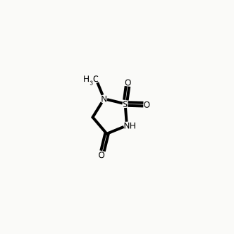 CN1CC(=O)NS1(=O)=O